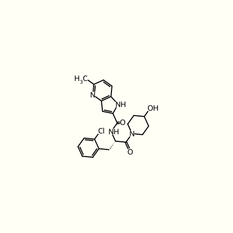 Cc1ccc2[nH]c(C(=O)N[C@@H](Cc3ccccc3Cl)C(=O)N3CCC(O)CC3)cc2n1